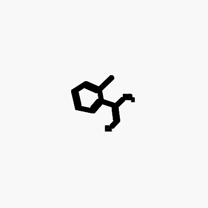 CC/C=C(\c1ccccc1C)[N+](=O)[O-]